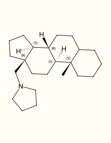 C[C@]12CCCCC1CC[C@H]1[C@@H]3CCC[C@@]3(CN3CCCC3)CC[C@@H]12